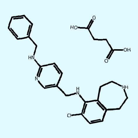 Clc1ccc2c(c1NCc1ccc(NCc3ccccc3)nc1)CCNCC2.O=C(O)CCC(=O)O